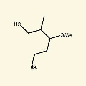 CCC(C)CCC(OC)C(C)CO